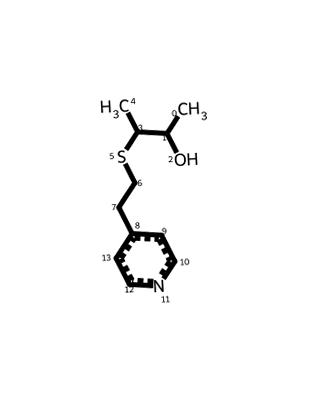 CC(O)C(C)SCCc1ccncc1